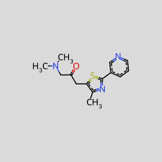 Cc1nc(-c2cccnc2)sc1CC(=O)CN(C)C